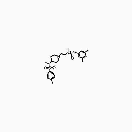 Cc1ccc(S(=O)(=O)N(C)C2CCN(CCNC(=O)Nc3cc(C)nc(C)c3)CC2)cc1